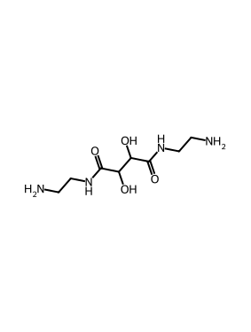 NCCNC(=O)C(O)C(O)C(=O)NCCN